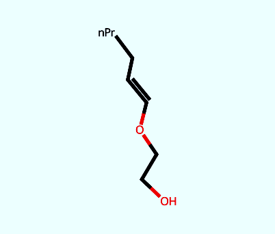 CCCCC=COCCO